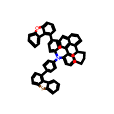 c1ccc(N(c2ccc(-c3cccc4oc5ccccc5c34)cc2)c2ccc(-c3cccc4sc5ccccc5c34)cc2)c(-c2cccc3cccc(C4CCCCC4)c23)c1